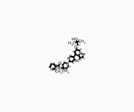 Cc1ncccc1C(=O)NC1(C)CCN(c2ccc(-c3cc(OCC(C)(C)O)cn4ncc(C#N)c34)cn2)CC1